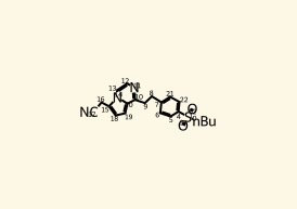 CCCCS(=O)(=O)c1ccc(CCc2nccn3c(CC#N)ccc23)cc1